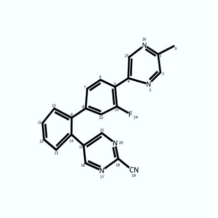 Cc1cnc(-c2ccc(-c3ccccc3-c3cnc(C#N)nc3)cc2F)cn1